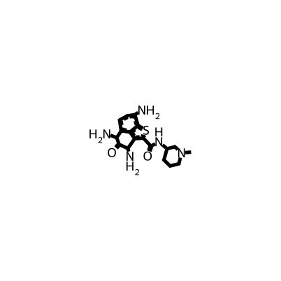 CN1CCCC(NC(=O)c2sc3c(N)ccc4c3c2C(N)C(=O)C4N)C1